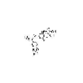 COC(c1ccc(OC(F)(F)F)cc1)C1CC1c1cc(F)c(OC(C)(C)C(=O)O)c(F)c1